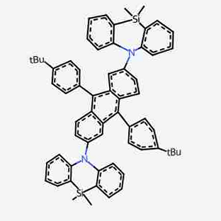 CC(C)(C)c1ccc(-c2c3ccc(N4c5ccccc5[Si](C)(C)c5ccccc54)cc3c(-c3ccc(C(C)(C)C)cc3)c3ccc(N4c5ccccc5[Si](C)(C)c5ccccc54)cc23)cc1